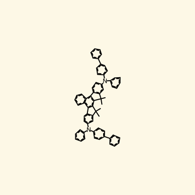 CC1(C)c2cc(N(c3ccccc3)c3ccc(-c4ccccc4)cc3)ccc2-c2c1c1c(c3ccccc23)-c2ccc(N(c3ccccc3)c3ccc(-c4ccccc4)cc3)cc2C1(C)C